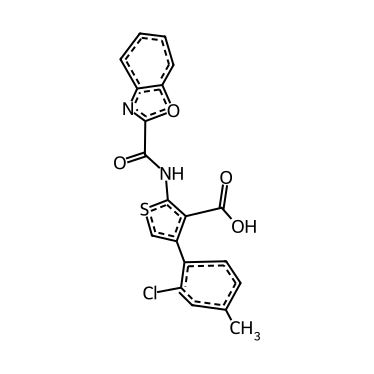 Cc1ccc(-c2csc(NC(=O)c3nc4ccccc4o3)c2C(=O)O)c(Cl)c1